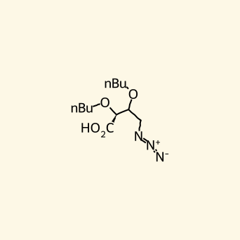 CCCCOC(CN=[N+]=[N-])[C@H](OCCCC)C(=O)O